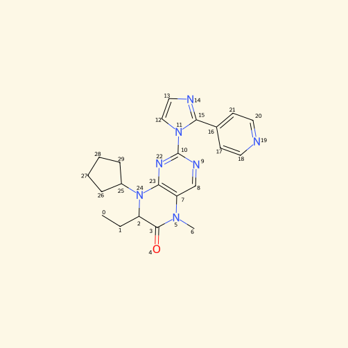 CCC1C(=O)N(C)c2cnc(-n3ccnc3-c3ccncc3)nc2N1C1CCCC1